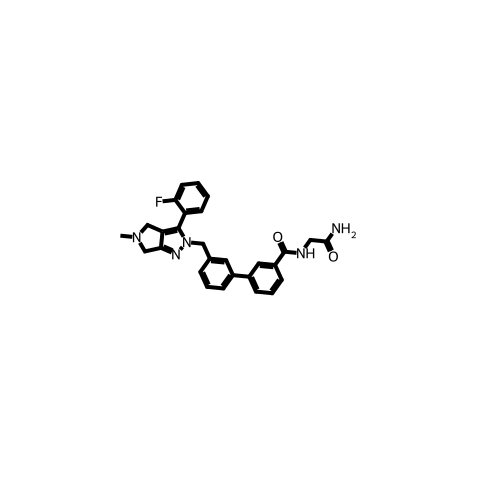 CN1Cc2nn(Cc3cccc(-c4cccc(C(=O)NCC(N)=O)c4)c3)c(-c3ccccc3F)c2C1